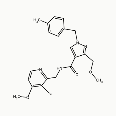 COCc1nn(Cc2ccc(C)cc2)cc1C(=O)NCc1nccc(OC)c1F